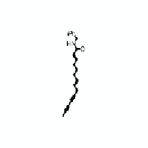 CC#CC#CCC=CCCCC=CC(=O)NCC(C)C